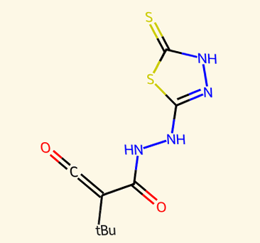 CC(C)(C)C(=C=O)C(=O)NNc1n[nH]c(=S)s1